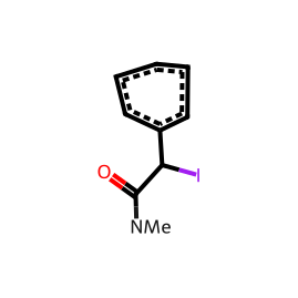 CNC(=O)C(I)c1ccccc1